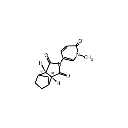 Cn1cc(N2C(=O)[C@@H]3C4CCC(C4)[C@@H]3C2=O)ccc1=O